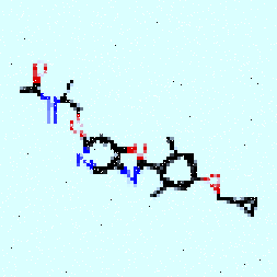 CC(=O)N[C@@H](C)COc1cc2oc(-c3c(C)cc(OCC4CC4)cc3C)nc2cn1